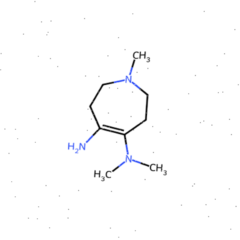 CN1CCC(N)=C(N(C)C)CC1